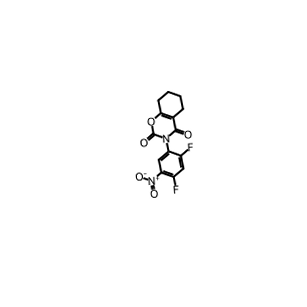 O=c1oc2c(c(=O)n1-c1cc([N+](=O)[O-])c(F)cc1F)CCCC2